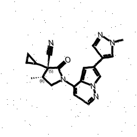 C[C@H]1CN(c2ccnn3cc(-c4cnn(C)c4)cc23)C(=O)[C@@]1(C#N)C1CC1